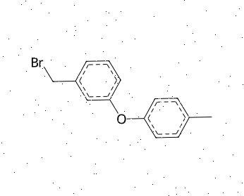 Cc1ccc(Oc2cccc(CBr)c2)cc1